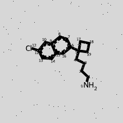 NCCCCC1(c2ccc3cc(Cl)ccc3c2)CCC1